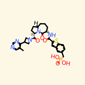 Cc1cncnc1C1CN(C(=O)[C@@H]2CC[C@@H]3CCC[C@H](NC(=O)c4cc5cc(CP(=O)(O)O)ccc5s4)C(=O)N32)C1